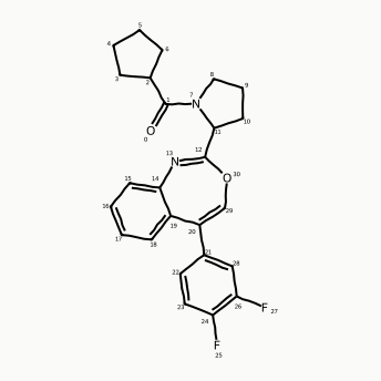 O=C(C1CCCC1)N1CCCC1C1=Nc2ccccc2C(c2ccc(F)c(F)c2)=CO1